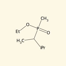 CCOP(C)(=O)C(C)C(C)C